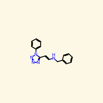 C(=C\c1nnnn1-c1ccccc1)/NCc1ccccc1